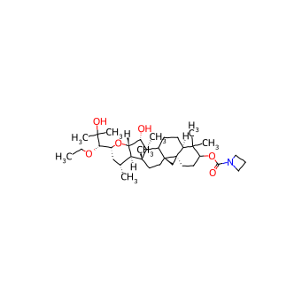 CCO[C@@H]([C@H]1C[C@@H](C)[C@H]2[C@H](O1)[C@H](O)[C@@]1(C)C3CC[C@H]4C(C)(C)C(OC(=O)N5CCC5)CC[C@@]45C[C@@]35CC[C@]21C)C(C)(C)O